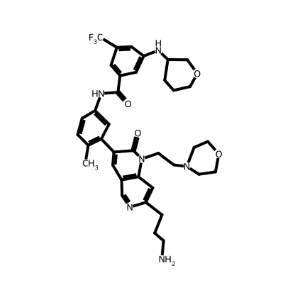 Cc1ccc(NC(=O)c2cc(NC3CCCOC3)cc(C(F)(F)F)c2)cc1-c1cc2cnc(CCCN)cc2n(CCN2CCOCC2)c1=O